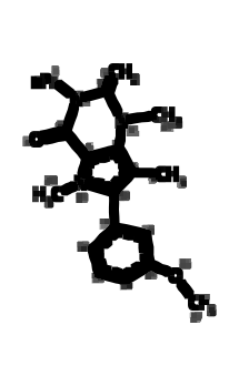 C=C1N(CCC)C(=O)c2c(c(C)c(-c3cccc(OC(F)(F)F)c3)n2C)N1C